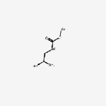 CC(C)(C)OC(=O)NC[C@@H](N)C(C)(C)C